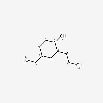 CCN1CCN(C)C(CCO)C1